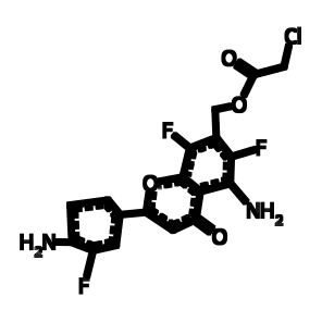 Nc1ccc(-c2cc(=O)c3c(N)c(F)c(COC(=O)CCl)c(F)c3o2)cc1F